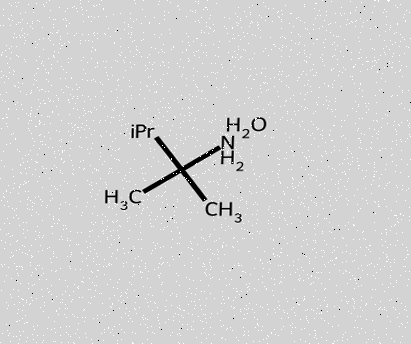 CC(C)C(C)(C)N.O